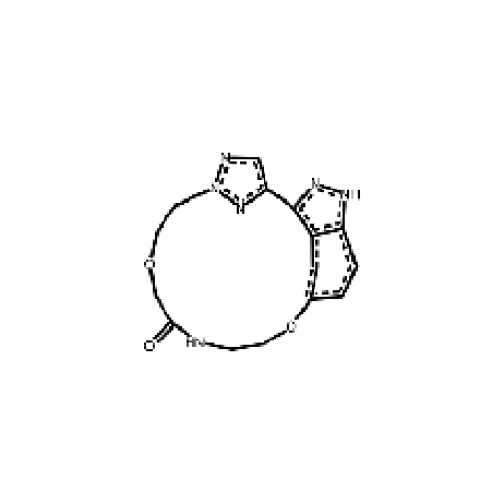 O=C1COCCn2ncc(n2)-c2n[nH]c3ccc(cc23)OCCN1